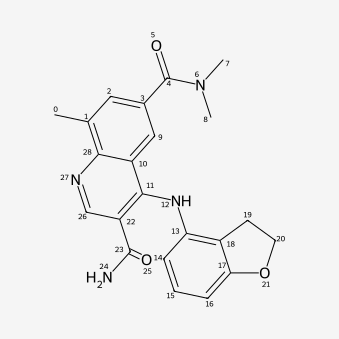 Cc1cc(C(=O)N(C)C)cc2c(Nc3cccc4c3CCO4)c(C(N)=O)cnc12